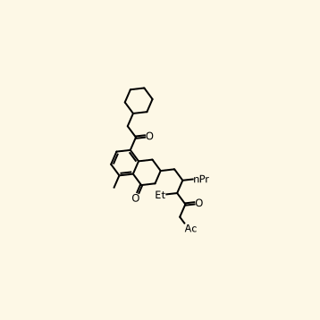 CCCC(CC1CC(=O)c2c(C)ccc(C(=O)CC3CCCCC3)c2C1)C(CC)C(=O)CC(C)=O